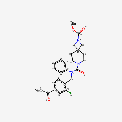 COC(=O)c1ccc(CN(C(=O)N2CCC3(CC2)CN(C(=O)OC(C)(C)C)C3)c2ccccc2)c(F)c1